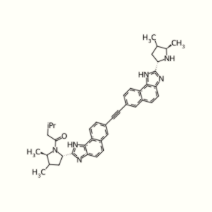 CC(C)CC(=O)N1[C@H](C)C(C)C[C@H]1c1nc2ccc3cc(C#Cc4ccc5c(ccc6nc([C@@H]7CC(C)[C@@H](C)N7)[nH]c65)c4)ccc3c2[nH]1